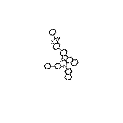 c1ccc(-c2ccc(N(c3ccc4ccccc4c3)c3c4ccccc4cc4c3sc3cc(-c5ccc6sc(-c7ccccc7)nc6c5)ccc34)cc2)cc1